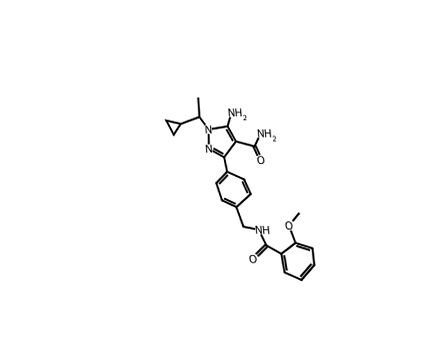 COc1ccccc1C(=O)NCc1ccc(-c2nn(C(C)C3CC3)c(N)c2C(N)=O)cc1